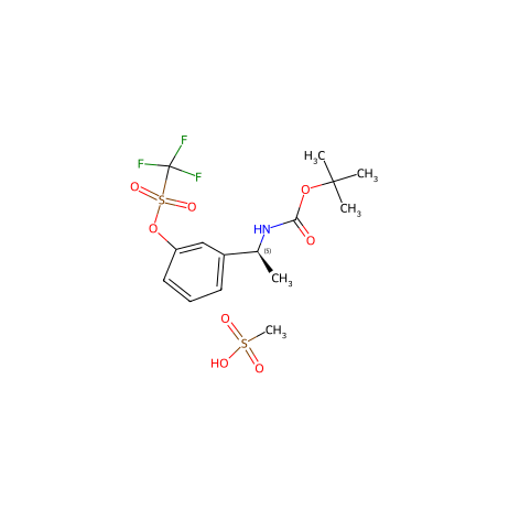 CS(=O)(=O)O.C[C@H](NC(=O)OC(C)(C)C)c1cccc(OS(=O)(=O)C(F)(F)F)c1